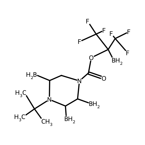 BC1C(B)N(C(C)(C)C)C(B)CN1C(=O)OC(B)(C(F)(F)F)C(F)(F)F